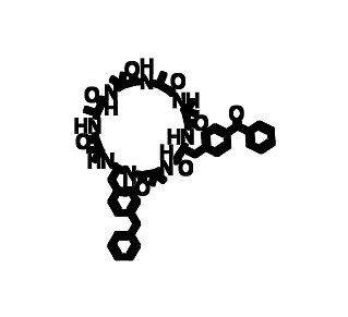 CC1NC(=O)C(C)(C)NC(=O)C(C)NC(=O)C(C)(C)NC(Cc2ccc(Cc3ccccc3)cc2)NC(=O)C(C)(C)NC(=O)C(Cc2ccc(C(=O)c3ccccc3)cc2)NC(=O)C(C)(C)NC1=O